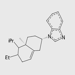 CCC1CC=C2C[C@@H](n3cnc4ccccc43)CC[C@]2(C)C1C(C)C